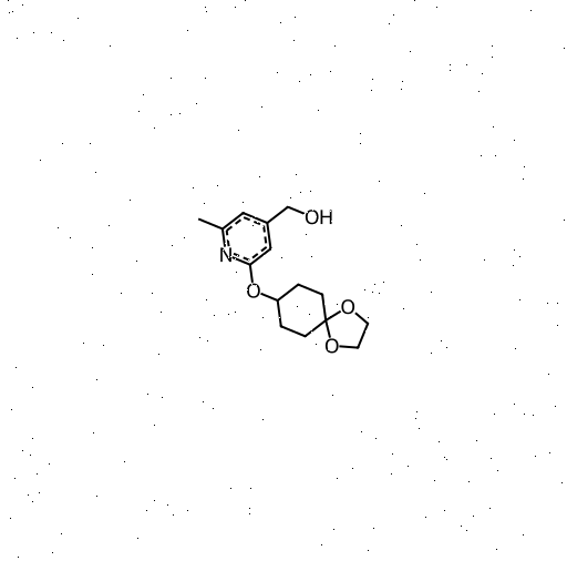 Cc1cc(CO)cc(OC2CCC3(CC2)OCCO3)n1